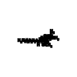 CC(=O)Nc1cc(NCCCCCCCCN)ccc1C(=O)Nc1nc(C)c(N)s1